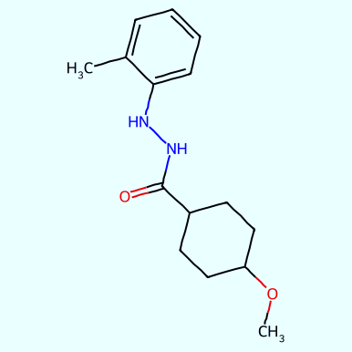 COC1CCC(C(=O)NNc2ccccc2C)CC1